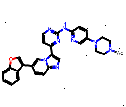 CC(=O)N1CCN(c2ccc(Nc3nccc(-c4cnc5ccc(-c6coc7ccccc67)cn45)n3)nc2)CC1